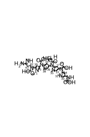 Cl.Cn1cc(N(C(=O)O)c2cc(N(C(=O)O)c3cc(N(C(=O)O)c4cc(NC(=O)O)cn4C)cn3C)cn2C)cc1N(CCC(=N)N)C(=O)O